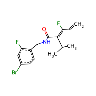 C=C/C(F)=C(/C(=O)NCc1ccc(Br)cc1F)C(C)C